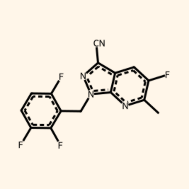 Cc1nc2c(cc1F)c(C#N)nn2Cc1c(F)ccc(F)c1F